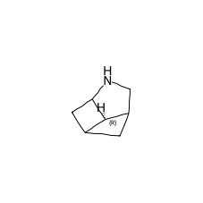 C1NC2CC3CC1[C@@H]32